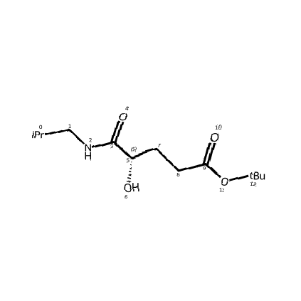 CC(C)CNC(=O)[C@@H](O)CCC(=O)OC(C)(C)C